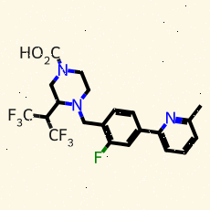 Cc1cccc(-c2ccc(CN3CCN(C(=O)O)CC3C(C(F)(F)F)C(F)(F)F)c(F)c2)n1